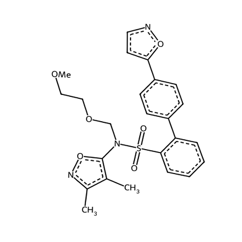 COCCOCN(c1onc(C)c1C)S(=O)(=O)c1ccccc1-c1ccc(-c2ccno2)cc1